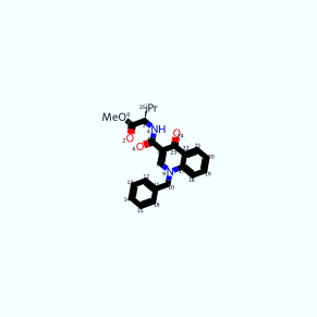 COC(=O)[C@@H](NC(=O)c1cn(Cc2ccccc2)c2ccccc2c1=O)C(C)C